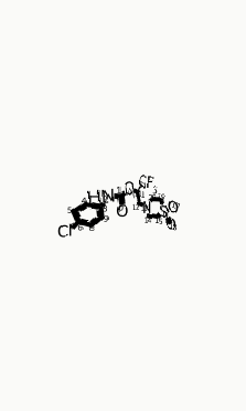 O=C(Nc1ccc(Cl)cc1)O[C@@H](CN1CCS(=O)(=O)CC1)C(F)(F)F